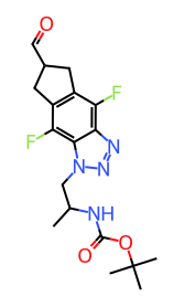 CC(Cn1nnc2c(F)c3c(c(F)c21)CC(C=O)C3)NC(=O)OC(C)(C)C